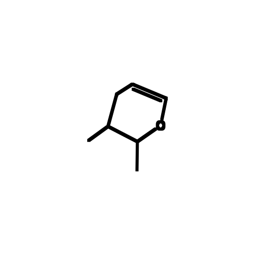 CC1CC=COC1C